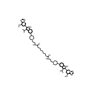 COc1cc(-c2[nH]c3ccc(C4CCN(CCNC(=O)CCCCCCCC(=O)NCCN5CCC(c6ccc7[nH]c(-c8cc(OC)c9ncnn9c8)c(C(C)C)c7c6)CC5)CC4)cc3c2C(C)C)cn2ncnc12